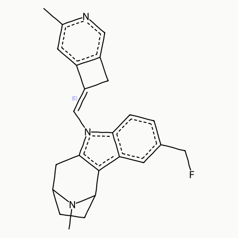 Cc1cc2c(cn1)C/C2=C\n1c2c(c3cc(CF)ccc31)C1CCC(C2)N1C